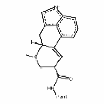 CCCC(C)NC(=O)[C@@H]1C=C2c3cccc4[nH]cc(c34)C[C@H]2N(C)C1